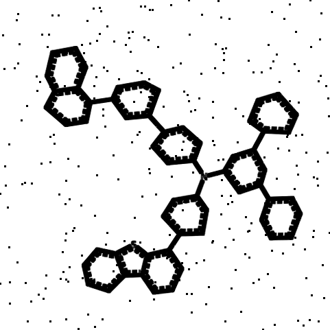 c1ccc(-c2cc(-c3ccccc3)cc(N(c3ccc(-c4cccc(-c5cccc6ccccc56)c4)cc3)c3ccc(-c4cccc5c4sc4ccccc45)cc3)c2)cc1